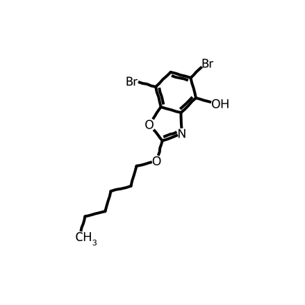 CCCCCCOc1nc2c(O)c(Br)cc(Br)c2o1